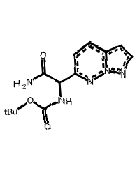 CC(C)(C)OC(=O)NC(C(N)=O)c1ccc2ccnn2n1